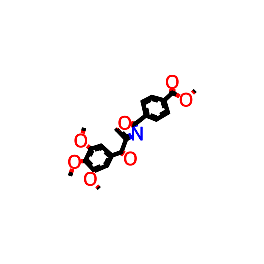 COC(=O)c1ccc(-c2nc(C(=O)c3cc(OC)c(OC)c(OC)c3)co2)cc1